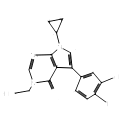 O=CCn1cnc2c(c(-c3ccc(F)c(Cl)c3)cn2C2CC2)c1=O